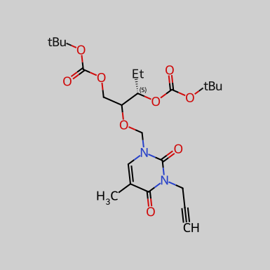 C#CCn1c(=O)c(C)cn(COC(COC(=O)OC(C)(C)C)[C@H](CC)OC(=O)OC(C)(C)C)c1=O